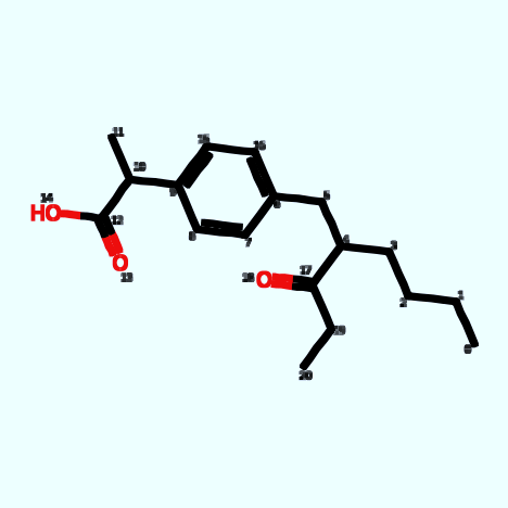 CCCCC(Cc1ccc(C(C)C(=O)O)cc1)C(=O)CC